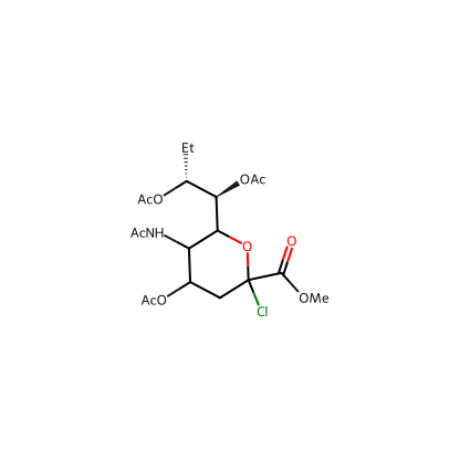 CC[C@@H](OC(C)=O)[C@@H](OC(C)=O)C1OC(Cl)(C(=O)OC)CC(OC(C)=O)C1NC(C)=O